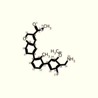 COC(=O)C1=Cc2cc(-c3cccc(-c4cc(F)c(CN)c(OC)c4)c3C)ccc2OC1